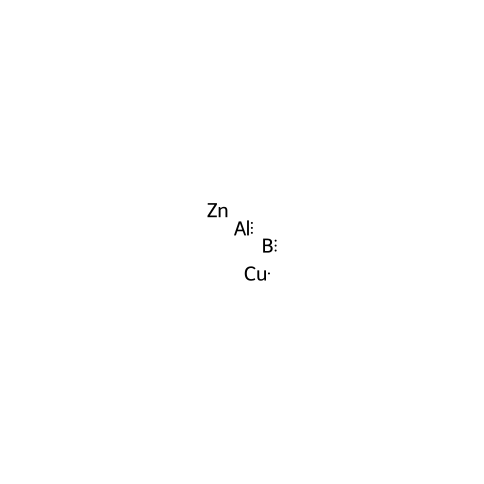 [Al].[B].[Cu].[Zn]